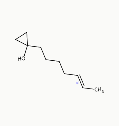 C/C=C/CCCCC1(O)CC1